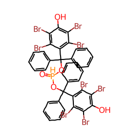 O=[PH](OC(c1ccccc1)(c1ccccc1)c1c(Br)c(Br)c(O)c(Br)c1Br)OC(c1ccccc1)(c1ccccc1)c1c(Br)c(Br)c(O)c(Br)c1Br